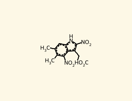 Cc1cc2[nH]c([N+](=O)[O-])c(CC(=O)O)c2c([N+](=O)[O-])c1C